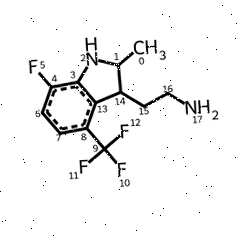 CC1Nc2c(F)ccc(C(F)(F)F)c2C1CCN